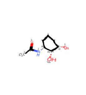 O=C(N[C@@H]1CCC[C@H](O)[C@@H]1O)C(Cl)(Cl)Cl